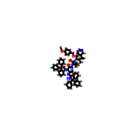 C=C(C1=C(C(=O)OCc2ccc(OC)cc2)N2C(=O)[C@@H](NC(=O)/C(=N\OC(c3ccccc3)(c3ccccc3)c3ccccc3)c3csc(NC(c4ccccc4)(c4ccccc4)c4ccccc4)n3)[C@H]2SC1)c1cncnc1